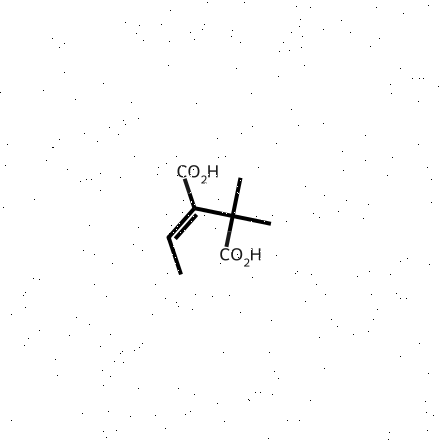 CC=C(C(=O)O)C(C)(C)C(=O)O